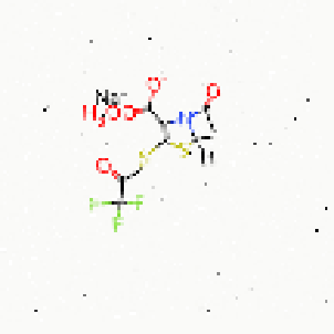 O.O=C([O-])C1=C(SCC(=O)C(F)(F)F)S[C@@H]2CC(=O)N12.[Na+]